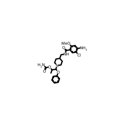 COc1cc(N)c(Cl)cc1C(=O)NCC1CCN(C(Oc2ccccc2)C(C)OC(N)=O)CC1